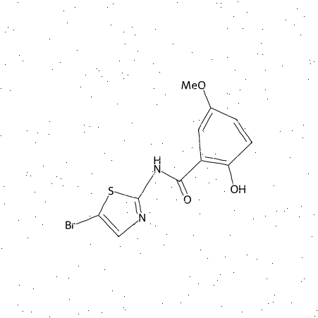 COc1ccc(O)c(C(=O)Nc2ncc(Br)s2)c1